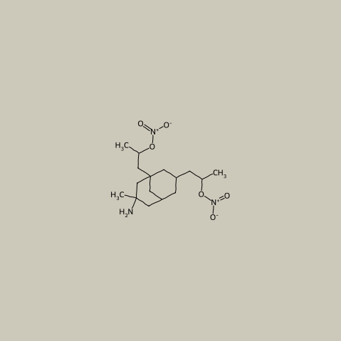 CC(CC1CC2CC(C)(N)CC(CC(C)O[N+](=O)[O-])(C1)C2)O[N+](=O)[O-]